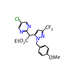 CCOC(=O)C(c1ncc(Cl)cn1)c1cc(C(F)(F)F)nn1Cc1ccc(OC)cc1